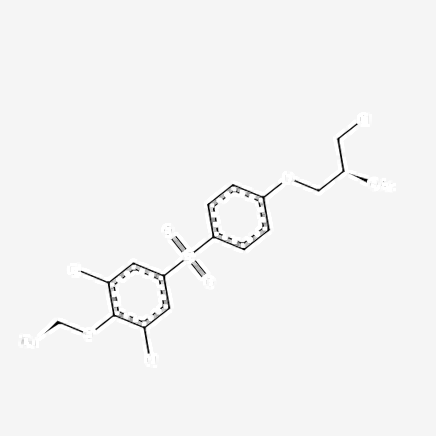 CC[C@H](C)COc1c(Cl)cc(S(=O)(=O)c2ccc(OC[C@@H](CCl)OC(C)=O)cc2)cc1Cl